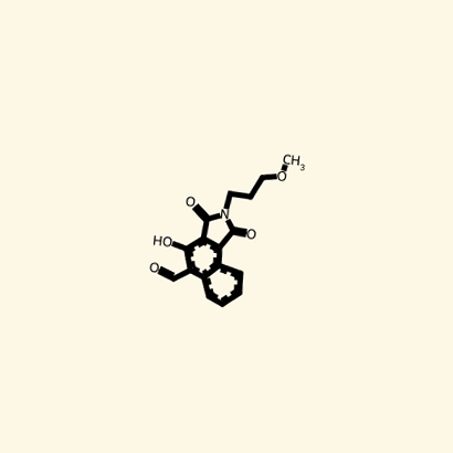 COCCCN1C(=O)c2c(O)c(C=O)c3ccccc3c2C1=O